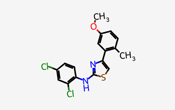 COc1ccc(C)c(-c2csc(Nc3ccc(Cl)cc3Cl)n2)c1